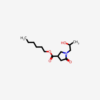 CCCCCCOC(=O)C1CC(=O)N(CC(C)O)C1